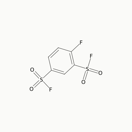 O=S(=O)(F)c1ccc(F)c(S(=O)(=O)F)c1